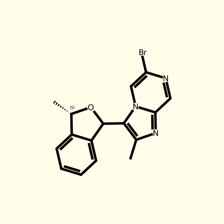 Cc1nc2cnc(Br)cn2c1C1O[C@@H](C)c2ccccc21